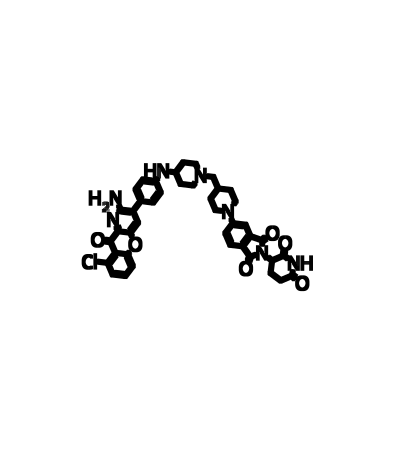 Nc1nc2c(=O)c3c(Cl)cccc3oc2cc1-c1ccc(NC2CCN(CC3CCN(c4ccc5c(c4)C(=O)N(C4CCC(=O)NC4=O)C5=O)CC3)CC2)cc1